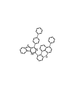 c1ccc(-c2ccc(-c3nc(-c4cccc5c4-c4cccc6c(-c7ccccc7)ccc(c46)S5)nc4c3sc3ccccc34)cc2)cc1